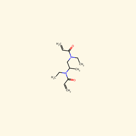 C=CC(=O)N(CC)CC(C)N(CC)C(=O)C=C